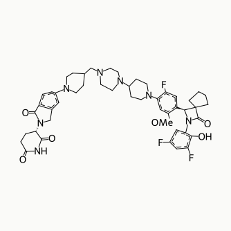 COc1cc(N2CCC(N3CCN(CC4CCN(c5ccc6c(c5)CN([C@H]5CCC(=O)NC5=O)C6=O)CC4)CC3)CC2)c(F)cc1[C@@H]1N(c2cc(F)cc(F)c2O)C(=O)C12CCCC2